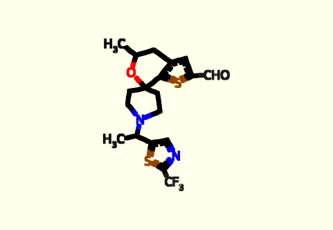 CC1Cc2cc(C=O)sc2C2(CCN(C(C)c3cnc(C(F)(F)F)s3)CC2)O1